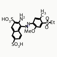 CCS(=O)(=O)c1cc(OC)c(/N=N/c2c(N)c(S(=O)(=O)O)cc3cc(S(=O)(=O)O)ccc23)cc1C